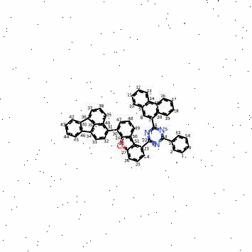 c1ccc(-c2nc(-c3cc4ccccc4c4ccccc34)nc(-c3cccc4oc5c(-c6ccc7c8c(cccc68)-c6ccccc6-7)cccc5c34)n2)cc1